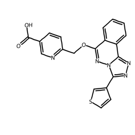 O=C(O)c1ccc(COc2nn3c(-c4ccsc4)nnc3c3ccccc23)nc1